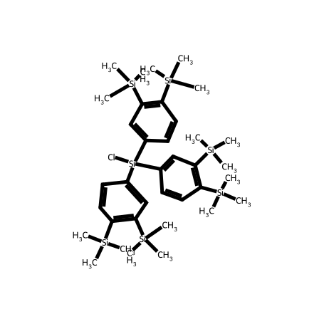 C[Si](C)(C)c1ccc([Si](Cl)(c2ccc([Si](C)(C)C)c([Si](C)(C)C)c2)c2ccc([Si](C)(C)C)c([Si](C)(C)C)c2)cc1[Si](C)(C)C